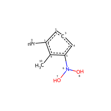 CCCc1cccc(N(O)O)c1C